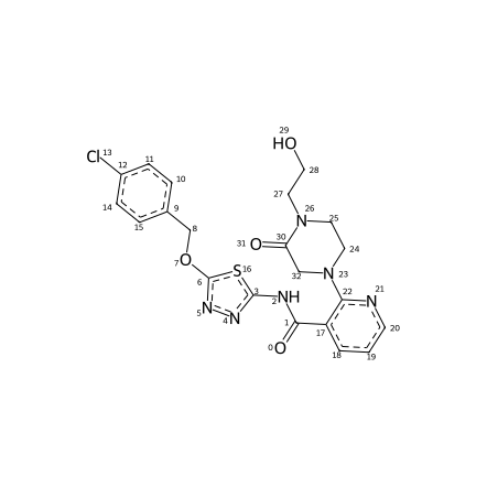 O=C(Nc1nnc(OCc2ccc(Cl)cc2)s1)c1cccnc1N1CCN(CCO)C(=O)C1